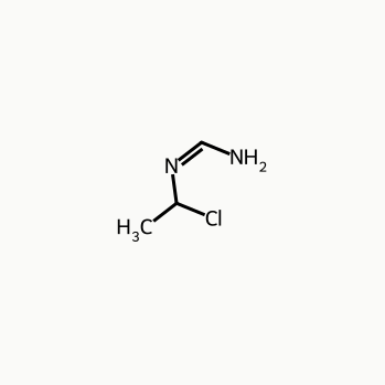 CC(Cl)/N=C\N